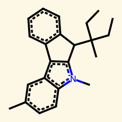 CCC(C)(CC)C1c2ccccc2-c2c1n(C)c1ccc(C)cc21